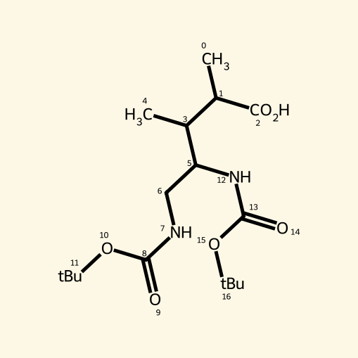 CC(C(=O)O)C(C)C(CNC(=O)OC(C)(C)C)NC(=O)OC(C)(C)C